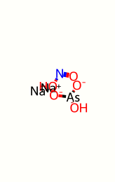 O=NO.[Na+].[Na+].[O-][As]([O-])O